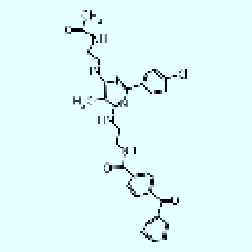 CC(=O)NCCNc1nc(-c2ccc(Cl)cc2)nc(NCCNC(=O)c2ccc(C(=O)c3ccccc3)cc2)c1C